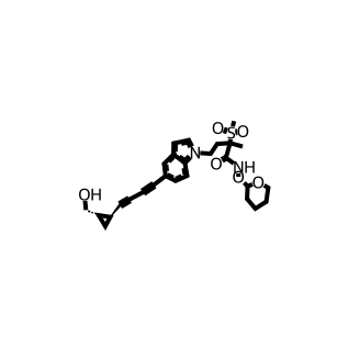 CC(CCn1ccc2cc(C#CC#C[C@H]3C[C@@H]3CO)ccc21)(C(=O)NOC1CCCCO1)S(C)(=O)=O